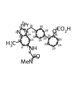 CCCc1nc2c(C)cc(NCC(=O)NC)cc2n1Cc1ccc(-c2ccccc2OC(=O)O)cc1